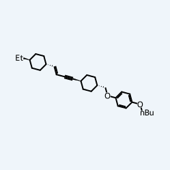 CCCCOc1ccc(OC[C@H]2CC[C@H](C#C/C=C/[C@H]3CC[C@H](CC)CC3)CC2)cc1